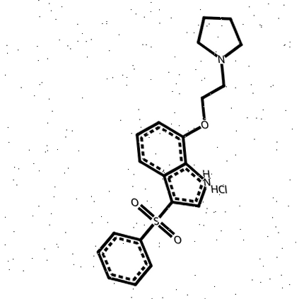 Cl.O=S(=O)(c1ccccc1)c1c[nH]c2c(OCCN3CCCC3)cccc12